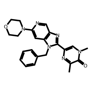 Cc1nc(-c2nc3cnc(N4CCOCC4)cc3n2Cc2ccccc2)cn(C)c1=O